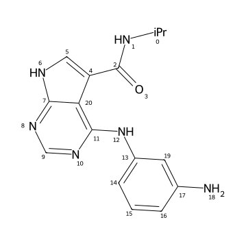 CC(C)NC(=O)c1c[nH]c2ncnc(Nc3cccc(N)c3)c12